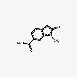 COC(=O)c1ccc2cc(=O)n(C)n2c1